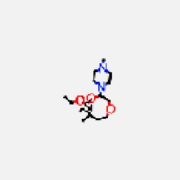 CCO[Si]1(C)OC(N2CCN(C)CC2)COCCC1C